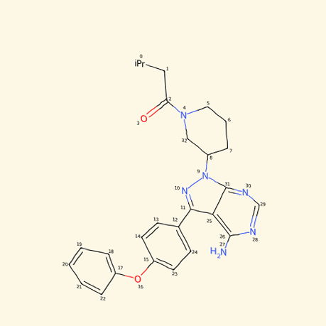 CC(C)CC(=O)N1CCCC(n2nc(-c3ccc(Oc4ccccc4)cc3)c3c(N)ncnc32)C1